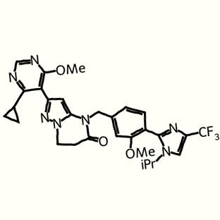 COc1cc(CN2C(=O)CCn3nc(-c4c(OC)ncnc4C4CC4)cc32)ccc1-c1nc(C(F)(F)F)cn1C(C)C